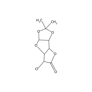 CC1(C)OC2OC3C(Cl)C(=O)OC3C2O1